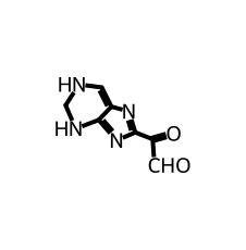 O=CC(=O)C1=NC2=CNCNC2=N1